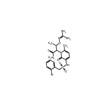 Cc1ccc(NS(=O)(=O)Cc2ccccc2Br)c(=O)n1C(C(=O)[AsH2])C(C)ON=C(N)N